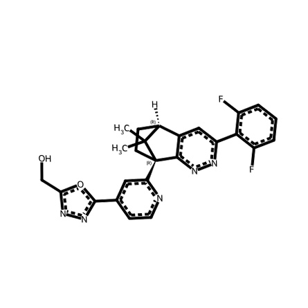 CC1(C)[C@H]2CC[C@@]1(c1cc(-c3nnc(CO)o3)ccn1)c1nnc(-c3c(F)cccc3F)cc12